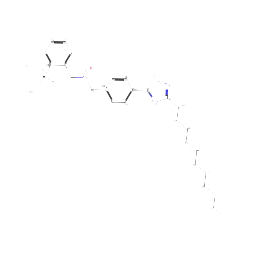 CCCCCCCCCCCc1noc(-c2ccc(C[NH+]([O-])Cc3ccccc3C(F)(F)F)cc2)n1